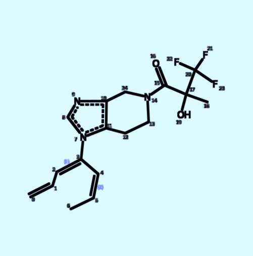 C=C/C=C(\C=C/C)n1cnc2c1CCN(C(=O)C(C)(O)C(F)(F)F)C2